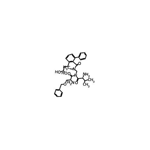 CCN(CN(C(=O)C(N)COCc1ccccc1)C(=O)[C@@H](N)C(C)C)C(=O)c1c(CCC(O)O)cccc1-c1ccccc1